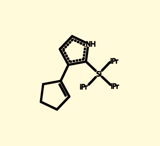 CC(C)[Si](c1[nH]ccc1C1=CCCC1)(C(C)C)C(C)C